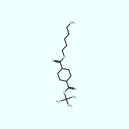 CCCCCCOC(=O)C1CCC(C(=O)OC(C)(C)C)CC1